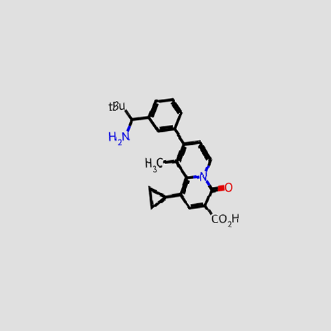 Cc1c(-c2cccc(C(N)C(C)(C)C)c2)ccn2c(=O)c(C(=O)O)cc(C3CC3)c12